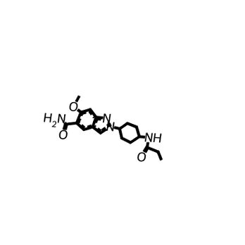 CCC(=O)NC1CCC(n2cc3cc(C(N)=O)c(OC)cc3n2)CC1